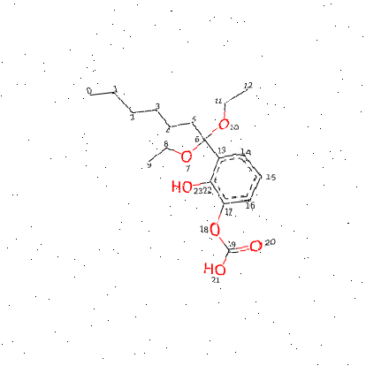 CCCCCCC(OCC)(OCC)c1cccc(OC(=O)O)c1O